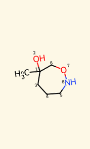 CC1(O)CCCNOC1